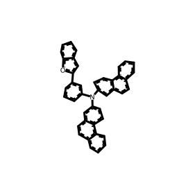 c1cc(-c2cc3ccccc3o2)cc(N(c2ccc3c(ccc4ccccc43)c2)c2ccc3c(ccc4ccccc43)c2)c1